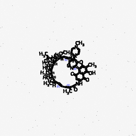 CO[C@H]1/C=C/O[C@@]2(C)Oc3c(C)c(O)c4c(c3/C2=N/OCCN2CCN(C)CC2)C(=O)C=C(NC(=O)/C(C)=C\C=C\[C@H](C)[C@H](O)[C@@H](C)[C@@H](O)[C@@H](C)[C@H](OC(C)=O)[C@@H]1C)C4=O